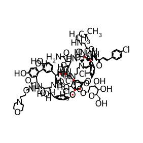 CN[C@H](CC(C)C)C(=O)N[C@H]1C(=O)N[C@@H](CC(N)=O)C(=O)N[C@H]2C(=O)N[C@H]3C(=O)N[C@H](C(=O)N[C@@H](C(=O)NOCCN4CCOCC4)c4cc(O)cc(O)c4-c4cc3ccc4O)[C@H](O)c3ccc(c(Cl)c3)Oc3cc2cc(c3O[C@@H]2O[C@H](CO)[C@@H](O)[C@H](O)[C@H]2O[C@H]2C[C@](C)(NCCn3ccc(NC(=O)/C=C/c4ccc(Cl)cc4)nc3=O)[C@H](O)[C@H](C)O2)Oc2ccc(cc2Cl)[C@H]1O